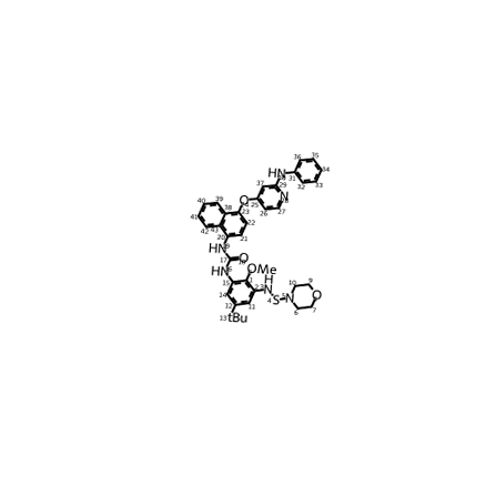 COc1c(NSN2CCOCC2)cc(C(C)(C)C)cc1NC(=O)Nc1ccc(Oc2ccnc(Nc3ccccc3)c2)c2ccccc12